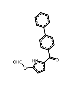 O=COc1ccc(C(=O)c2ccc(-c3ccccc3)cc2)[nH]1